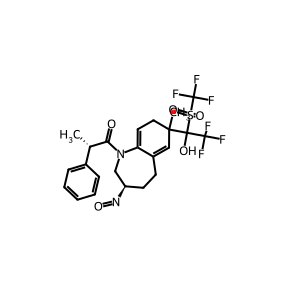 C[C@H](C(=O)N1C[C@H](N=O)CCC2=CC(C)(C(O)(C(F)(F)F)S(=O)(=O)C(F)(F)F)CC=C21)c1ccccc1